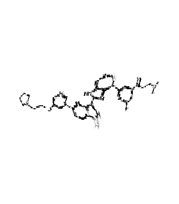 CN(C)CCNc1cc(F)cc(-c2nccc3[nH]c(-c4n[nH]c5ccc(-c6cncc(OCCN7CCCC7)c6)nc45)nc23)c1